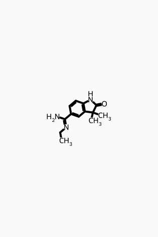 CCN=C(N)c1ccc2c(c1)C(C)(C)C(=O)N2